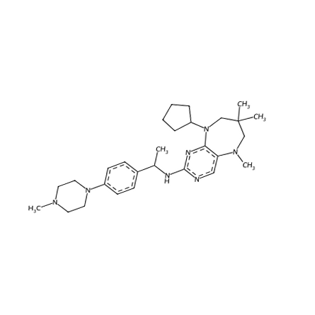 CC(Nc1ncc2c(n1)N(C1CCCC1)CC(C)(C)CN2C)c1ccc(N2CCN(C)CC2)cc1